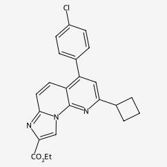 CCOC(=O)c1cn2c(ccc3c(-c4ccc(Cl)cc4)cc(C4CCC4)nc32)n1